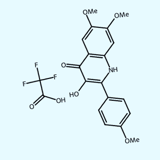 COc1ccc(-c2[nH]c3cc(OC)c(OC)cc3c(=O)c2O)cc1.O=C(O)C(F)(F)F